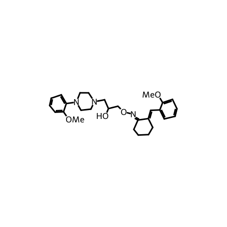 COc1ccccc1/C=C1\CCCC\C1=N/OCC(O)CN1CCN(c2ccccc2OC)CC1